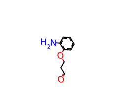 Nc1ccccc1OCCC=O